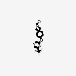 O=CN1CC2(CCC(Oc3cncc(C(F)(F)F)n3)CC2)C1